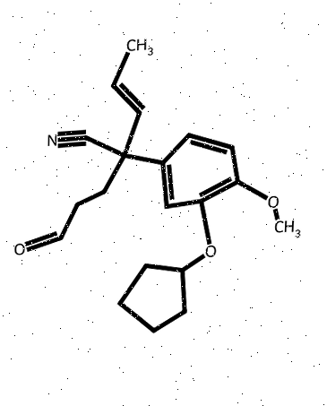 C/C=C/C(C#N)(CCC=O)c1ccc(OC)c(OC2CCCC2)c1